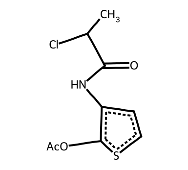 CC(=O)Oc1sccc1NC(=O)C(C)Cl